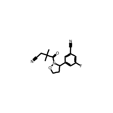 CC(C)(CC#N)C(=O)N1OCCC1c1cc(F)cc(C#N)c1